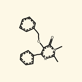 Cc1nc(-c2ccccc2)c(OCc2ccccc2)c(=O)n1C